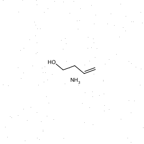 C=CCCO.N